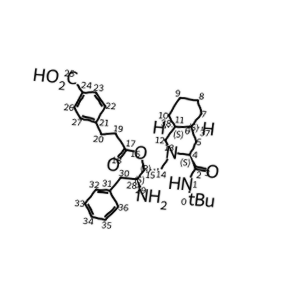 CC(C)(C)NC(=O)[C@@H]1C[C@@H]2CCCC[C@@H]2CN1C[C@@H](OC(=O)CCc1ccc(C(=O)O)cc1)[C@@H](N)Cc1ccccc1